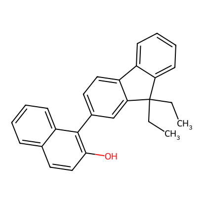 CCC1(CC)c2ccccc2-c2ccc(-c3c(O)ccc4ccccc34)cc21